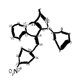 Cc1nn(-c2ccccc2)c2c1-[n+]1ccccc1C2=Cc1ccc([N+](=O)[O-])cc1